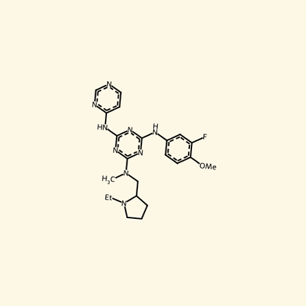 CCN1CCCC1CN(C)c1nc(Nc2ccc(OC)c(F)c2)nc(Nc2ccncn2)n1